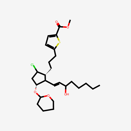 CCCCCC(O)/C=C/C1[C@@H](CCCc2ccc(C(=O)OC)s2)C(Cl)C[C@H]1OC1CCCCO1